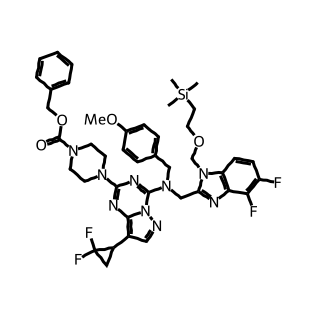 COc1ccc(CN(Cc2nc3c(F)c(F)ccc3n2COCC[Si](C)(C)C)c2nc(N3CCN(C(=O)OCc4ccccc4)CC3)nc3c(C4CC4(F)F)cnn23)cc1